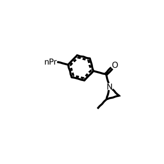 CCCc1ccc(C(=O)N2CC2C)cc1